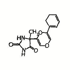 CC1(C2=COC=C(C3=CC=CCC3)O2)NC(=O)NC1=O